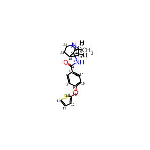 C[C@H]1[C@H](NC(=O)c2ccc(Oc3cccs3)cc2)C2CCN1CC2